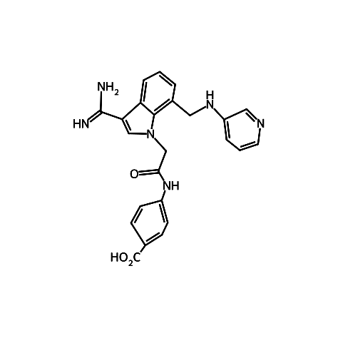 N=C(N)c1cn(CC(=O)Nc2ccc(C(=O)O)cc2)c2c(CNc3cccnc3)cccc12